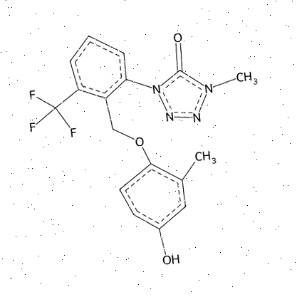 Cc1cc(O)ccc1OCc1c(-n2nnn(C)c2=O)cccc1C(F)(F)F